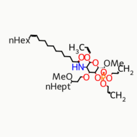 C=CCOP(=O)(OCC=C)O[C@H]1[C@H](OCC[C@@H](CCCCCCC)OC)[C@@H](NC(=O)CCCCCCCCC/C=C\CCCCCC)[C@@H](O/C=C\C)O[C@@H]1COC